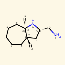 NC[C@@H]1C[C@@H]2CCCCC[C@H]2N1